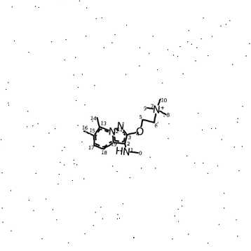 CNc1c(OCC[N+](C)(C)C)nn2c(C)c(C)ccc12